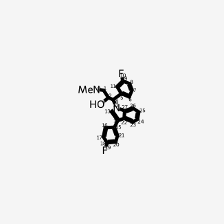 CNCC(O)C(c1cccc(F)c1)n1cc(-c2ccc(F)cc2)c2ccccc21